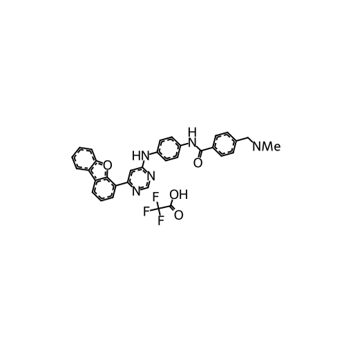 CNCc1ccc(C(=O)Nc2ccc(Nc3cc(-c4cccc5c4oc4ccccc45)ncn3)cc2)cc1.O=C(O)C(F)(F)F